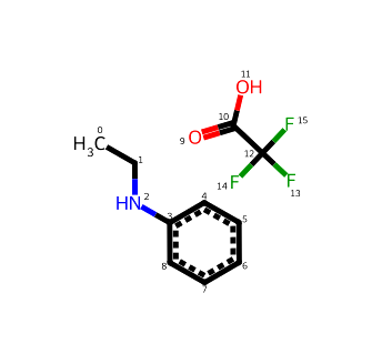 CCNc1ccccc1.O=C(O)C(F)(F)F